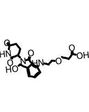 O=C(O)CCOCCNc1cccc2c1C(=O)N(C1CCC(=O)NC1=O)C2O